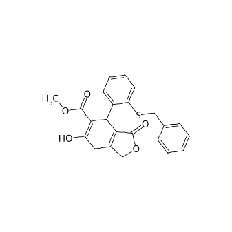 COC(=O)C1=C(O)CC2=C(C(=O)OC2)C1c1ccccc1SCc1ccccc1